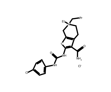 CC[N+]1(CC(C)C)CCc2c(sc(NC(=O)Nc3ccc(Cl)cc3)c2C(N)=O)C1.[Cl-]